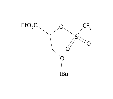 CCOC(=O)C(COC(C)(C)C)OS(=O)(=O)C(F)(F)F